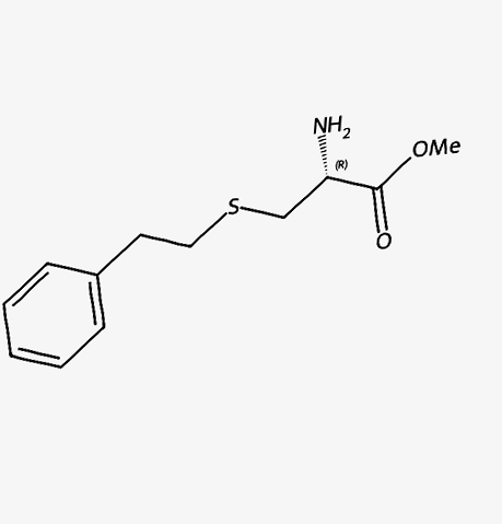 COC(=O)[C@@H](N)CSCCc1ccccc1